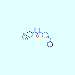 O=C(NC1CCN(Cc2ccccc2)CC1)NC1CCC2(CC1)OCCO2